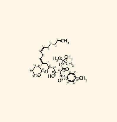 CCCCC/C=C\C/C=C\CC(CC(O)[C@H](C(=O)OC(C)(C)C)[S+]([O-])c1ccc(C)cc1)O[C@H]1CCCCO1